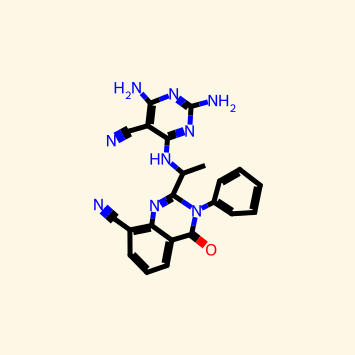 CC(Nc1nc(N)nc(N)c1C#N)c1nc2c(C#N)cccc2c(=O)n1-c1ccccc1